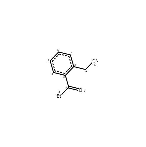 CCC(=O)c1ccccc1CC#N